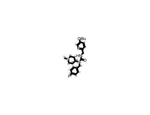 CC(C)COc1ccc(CNC(=O)N(Cc2ccc(F)cc2)C2CCN(C)CC2)nc1